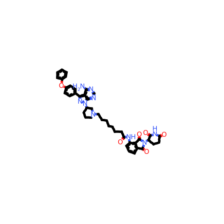 Nc1ncnc2c1c(-c1ccc(Oc3ccccc3)cc1)nn2C1CCCN(CCCCCCCC(=O)Nc2cccc3c2C(=O)N(C2CCC(=O)NC2=O)C3=O)C1